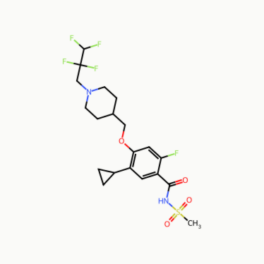 CS(=O)(=O)NC(=O)c1cc(C2CC2)c(OCC2CCN(CC(F)(F)C(F)F)CC2)cc1F